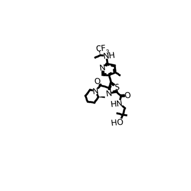 Cc1cc(N[C@H](C)C(F)(F)F)ncc1-c1sc(C(=O)NCC(C)(C)O)nc1C(=O)N1CCCC[C@@H]1C